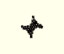 N#Cc1ccc(N(c2cc(F)c(-c3ccc(F)cc3)cc2F)c2ccc3ccc4c(N(c5ccc(C#N)cc5)c5cc(F)c(-c6ccc(F)cc6)cc5F)ccc5ccc2c3c54)cc1